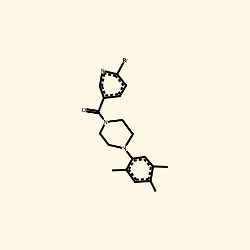 Cc1cc(C)c(N2CCN(C(=O)c3ccc(Br)nc3)CC2)cc1C